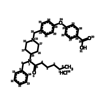 CCCCCC(=O)N(Cc1ccccc1)C1CCN(Cc2ccc(Oc3ccc(C(=O)O)cc3)cc2)CC1.Cl